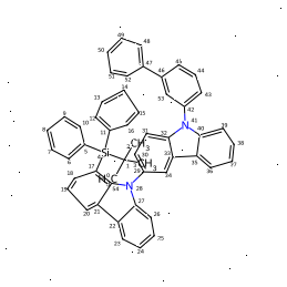 CC(C)(C)[Si](c1ccccc1)(c1ccccc1)c1cccc2c3ccccc3n(-c3ccc4c(c3)c3ccccc3n4-c3cccc(-c4ccccc4)c3)c12